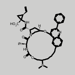 C=C[C@@H]1C[C@]1(NC(=O)[C@@H]1C[C@@H]2CN1C(=O)[C@H](C(C)C)NC(=O)OCC(N(C)C)CCCc1ccc3nc(-c4ccccc4)cc(c3c1)O2)C(=O)O